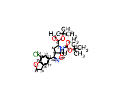 CC(C)(C)OC(=O)[C@@H]1CC2C(c3cc(Cl)c4c(c3)CCO4)=NO[C@H]2N1C(=O)OC(C)(C)C